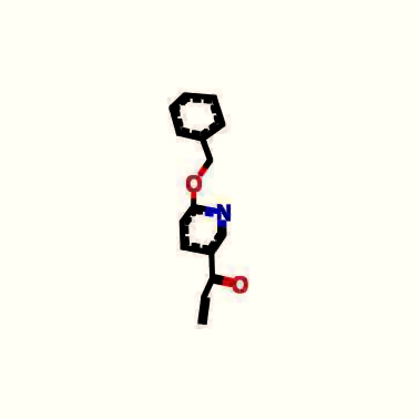 C=CC(=O)c1ccc(OCc2ccccc2)nc1